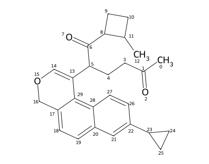 CC(=O)CCC(C(=O)C1CCC1C)C1=COCc2ccc3cc(C4CC4)ccc3c21